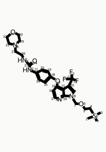 C[Si](C)(C)CCOCn1cc(C(F)(F)F)c2c(Oc3ccc(NC(=O)NCCN4CCOCC4)cc3)ccnc21